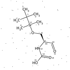 CC(C)(C)[Si](C)(C)OC[C@@H](C=O)NC(=O)O